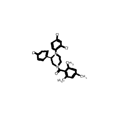 Cc1cc(C)c(C(=O)N2CCN(c3ccc(Cl)cc3Cl)[C@H](c3ccc(Cl)cc3)C2)c(C)c1